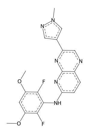 COc1cc(OC)c(F)c(Nc2ccc3ncc(-c4cnn(C)c4)nc3n2)c1F